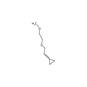 COCCOCC=C1CC1